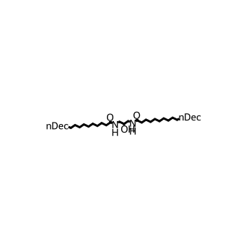 CCCCCCCCCCCCCCCCCCCC(=O)NCC(O)CNC(=O)CCCCCCCCCCCCCCCCCCC